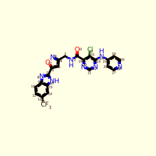 O=C(NCc1cc(-c2nc3ccc(C(F)(F)F)cc3[nH]2)on1)c1ncnc(Nc2ccncc2)c1Cl